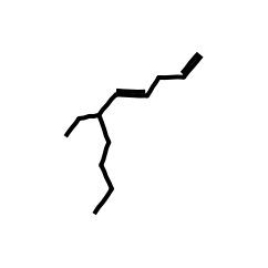 C=CCC=CC(CC)CCCC